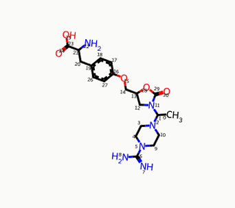 CC(N1CCN(C(=N)N)CC1)N1CC(COc2ccc(CC(N)C(=O)O)cc2)OC1=O